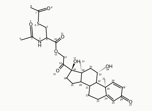 CC(=O)NC(CSC(C)=O)C(=O)OCC(=O)[C@@]1(O)CCC2C3CCC4=CC(=O)C=C[C@]4(C)C3[C@@H](O)C[C@@]21C